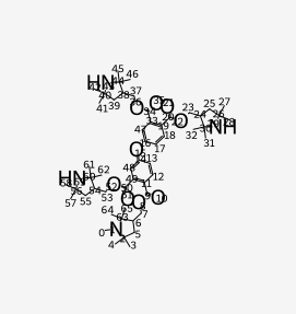 CN1C(C)(C)CC(COC(=O)c2ccc(Oc3ccc(C(=O)OCC4CC(C)(C)NC4(C)C)c(C(=O)OCC4CC(C)(C)NC4(C)C)c3)cc2C(=O)OCC2CC(C)(C)NC2(C)C)C1(C)C